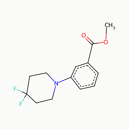 COC(=O)c1cccc(N2CCC(F)(F)CC2)c1